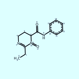 CCC1=NCCC(C(=O)Nc2ccccc2)[N+]1=O